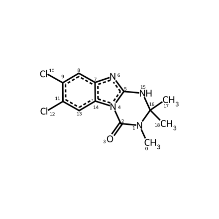 CN1C(=O)n2c(nc3cc(Cl)c(Cl)cc32)NC1(C)C